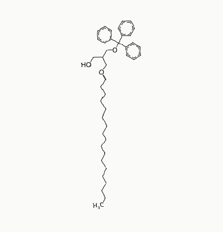 CCCCCCCCCCCCCCCCCCOCC(CO)COC(c1ccccc1)(c1ccccc1)c1ccccc1